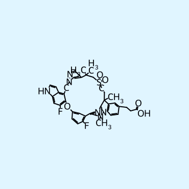 Cn1nc2nc1-c1cc(ccc1F)Oc1c(F)cc3[nH]ccc3c1Cn1cc(cn1)C(C)(C)CS(=O)(=O)CCC2(C)c1cccc(CCC(=O)O)c1